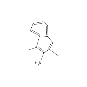 Cc1cc2ccccc2c(C)c1N